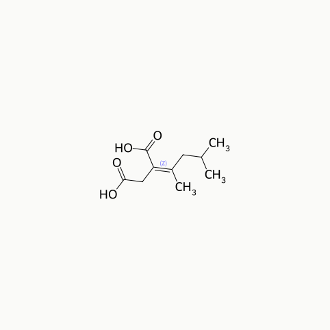 C/C(CC(C)C)=C(\CC(=O)O)C(=O)O